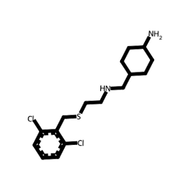 NC1CCC(CNCCSCc2c(Cl)cccc2Cl)CC1